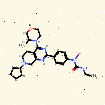 CCNC(=O)N(I)c1ccc(-c2nc3c(c(N4CCOCC4C)n2)CCN(C2CCCC2)C3)cc1